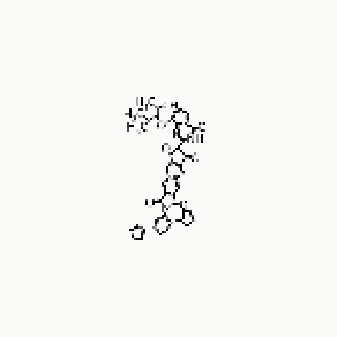 CC(C)C(Oc1cccc2c(=O)[nH]c(C3C(=O)c4cc5cc6c(cc5cc4C3=O)C(=O)N(c3cc(C4=CCC=C4)ccc3C3=CC=CC3)C6=O)nc12)C(C)C